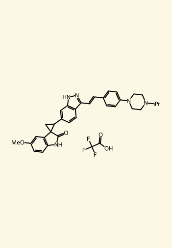 COc1ccc2c(c1)C1(CC1c1ccc3c(/C=C/c4ccc(N5CCN(C(C)C)CC5)cc4)n[nH]c3c1)C(=O)N2.O=C(O)C(F)(F)F